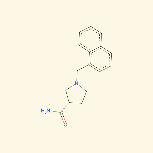 NC(=O)[C@H]1CCN(Cc2cccc3ccccc23)C1